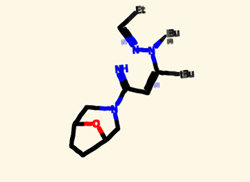 CC/C=N\N(/C(=C\C(=N)N1CC2CCC(C1)O2)C(C)(C)C)[C@H](C)CC